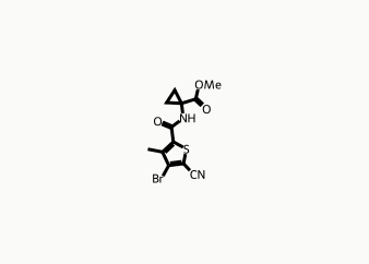 COC(=O)C1(NC(=O)c2sc(C#N)c(Br)c2C)CC1